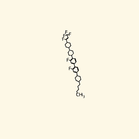 CCCCCC1CCC(c2ccc(-c3ccc(C4CCC(C5CCC(/C(F)=C/C(F)(F)F)CC5)CC4)c(F)c3)c(F)c2)CC1